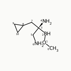 COB[C@](N)(CN)CC1CC1